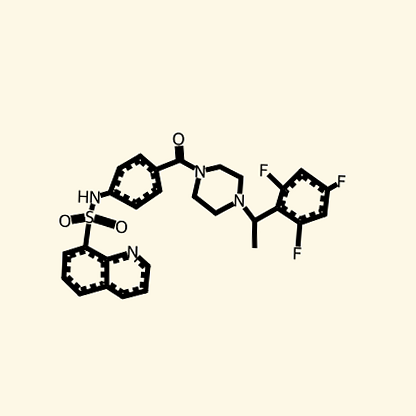 CC(c1c(F)cc(F)cc1F)N1CCN(C(=O)c2ccc(NS(=O)(=O)c3cccc4cccnc34)cc2)CC1